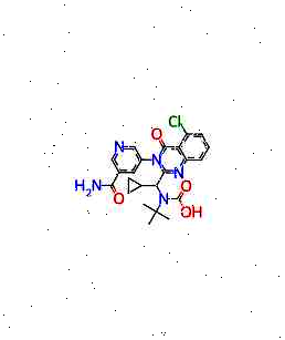 CC(C)(C)N(C(=O)O)C(c1nc2cccc(Cl)c2c(=O)n1-c1cncc(C(N)=O)c1)C1CC1